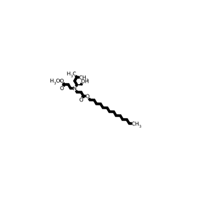 CCCCCCCCCCCCCCOC(=O)CCN(CCC(=O)OC)[C@H](CO)CC(C)C